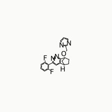 Fc1cccc(F)c1-c1cc2c(nn1)[C@@]1(OCc3ncccn3)CC[C@@H]2C1